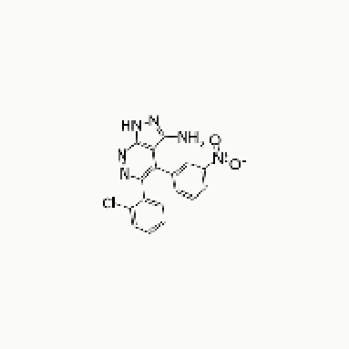 Nc1n[nH]c2nnc(-c3ccccc3Cl)c(-c3cccc([N+](=O)[O-])c3)c12